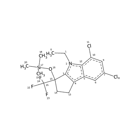 CCn1c2c(c3cc(Cl)cc(Cl)c31)CCC2(O[Si](C)(C)C)C(F)(F)F